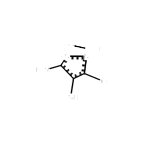 CC(C)c1n[nH]c(N)c1N.O=S(=O)(O)O